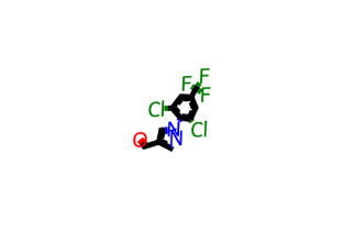 O=Cc1cnn(-c2c(Cl)cc(C(F)(F)F)cc2Cl)c1